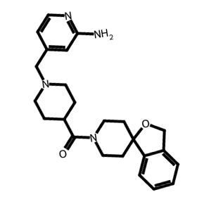 Nc1cc(CN2CCC(C(=O)N3CCC4(CC3)OCc3ccccc34)CC2)ccn1